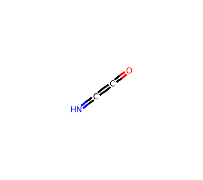 N=C=C=O